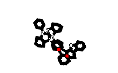 c1ccc(-c2ccc(N3c4ccccc4SC34N(c3ccccc3)c3ccccc3N4c3ccc(-c4cccc5c4oc4ccccc45)cc3)cc2)cc1